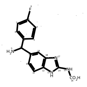 NC(c1ccc(F)cc1)c1ccc2[nH]c(NC(=O)O)nc2c1